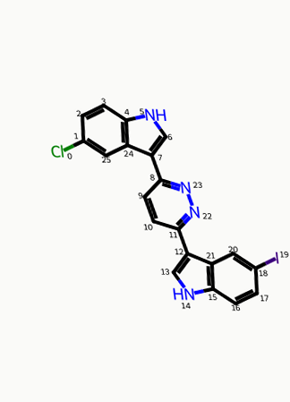 Clc1ccc2[nH]cc(-c3ccc(-c4c[nH]c5ccc(I)cc45)nn3)c2c1